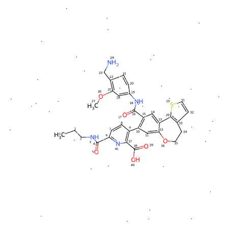 CCCNC(=O)c1ccc(-c2cc3c(cc2C(=O)Nc2ccc(CN)c(OC)c2)-c2sccc2CCO3)c(C(=O)O)n1